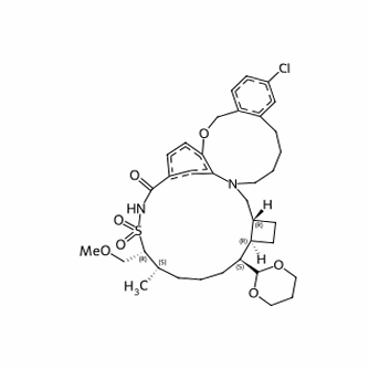 COC[C@H]1[C@@H](C)CCC[C@H](C2OCCCO2)[C@@H]2CC[C@H]2CN2CCCCc3cc(Cl)ccc3COc3ccc(cc32)C(=O)NS1(=O)=O